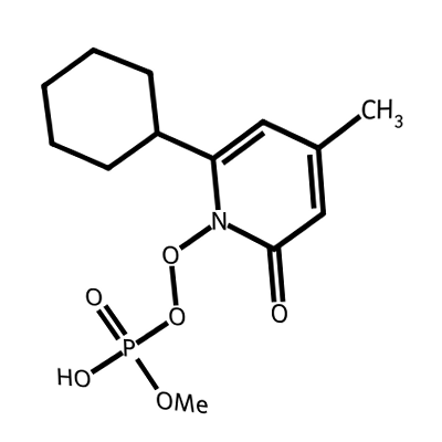 COP(=O)(O)OOn1c(C2CCCCC2)cc(C)cc1=O